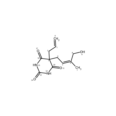 C=CCC1(CC=C(C)CO)C(=O)NC(=O)NC1=O